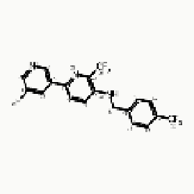 Fc1cncc(-c2ccc(NCc3ccc(C(F)(F)F)cc3)c(C(F)(F)F)n2)c1